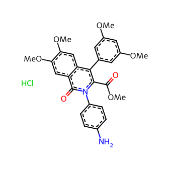 COC(=O)c1c(-c2cc(OC)cc(OC)c2)c2cc(OC)c(OC)cc2c(=O)n1-c1ccc(N)cc1.Cl